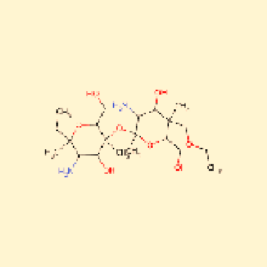 CCOCC1(C)C(CO)OC(C)(OC2(C)C(CO)OC(C)(CC)C(N)C2O)C(N)C1O